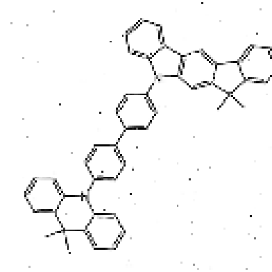 CC1(C)c2ccccc2-c2cc3c4ccccc4n(-c4ccc(-c5ccc(N6c7ccccc7C(C)(C)c7ccccc76)cc5)cc4)c3cc21